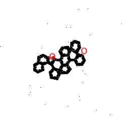 c1ccc(-c2c(-c3c4ccccc4c(-c4cccc5oc6ccccc6c45)c4ccccc34)oc3ccc4ccccc4c23)cc1